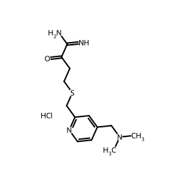 CN(C)Cc1ccnc(CSCCC(=O)C(=N)N)c1.Cl